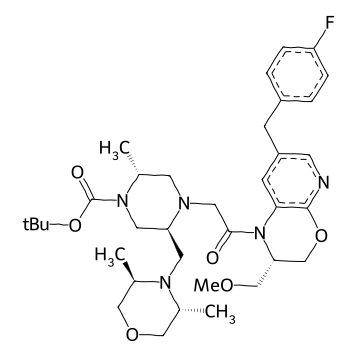 COC[C@H]1COc2ncc(Cc3ccc(F)cc3)cc2N1C(=O)CN1C[C@@H](C)N(C(=O)OC(C)(C)C)C[C@@H]1CN1[C@H](C)COC[C@H]1C